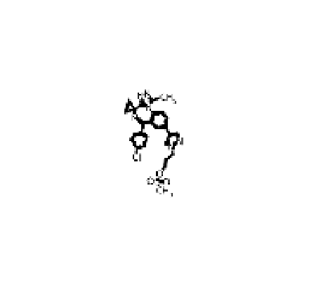 Cc1nnc2n1-c1ccc(-c3cnn(CCCOS(C)(=O)=O)c3)cc1C(c1ccc(Cl)cc1)=NC21CC1